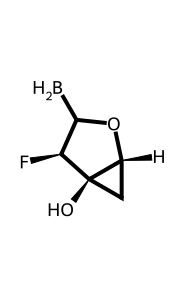 BC1O[C@@H]2C[C@]2(O)[C@H]1F